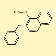 COc1c(Cc2ccccc2)ccc2ccccc12